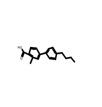 CCCCc1ccc(-c2ccc(C(=O)O)c(C)c2)cc1